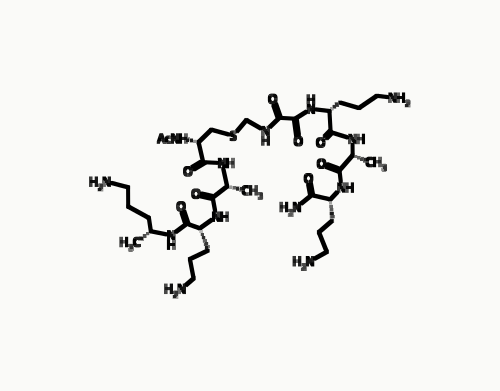 CC(=O)N[C@H](CSCNC(=O)C(=O)N[C@H](CCCN)C(=O)N[C@H](C)C(=O)N[C@H](CCCN)C(N)=O)C(=O)N[C@H](C)C(=O)N[C@H](CCCN)C(=O)N[C@H](C)CCCN